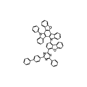 c1ccc(-c2ccc(-c3nc(-c4ccccc4)nc(-c4ccc(-n5c6ccccc6c6c7oc8ccccc8c7c7c(c8ccccc8n7-c7ccccc7)c65)c5c4oc4ccccc45)n3)cc2)cc1